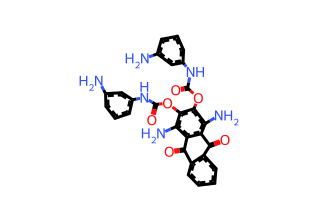 Nc1cccc(NC(=O)Oc2c(N)c3c(c(N)c2OC(=O)Nc2cccc(N)c2)C(=O)c2ccccc2C3=O)c1